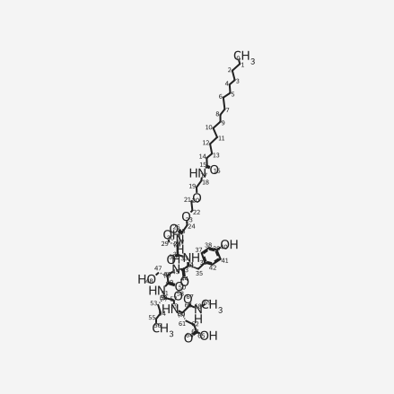 CCCCCCCCCCCCCCCC(=O)NCCOCCOCC(=O)N[C@@H](CO)C(=O)N[C@@H](Cc1ccc(O)cc1)C(=O)N[C@@H](CO)C(=O)N[C@@H](CCCC)C(=O)N[C@@H](CCC(=O)O)C(=O)NC